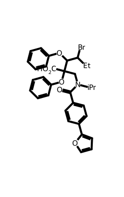 CCC(Br)C(Oc1ccccc1)C(CN(C(=O)c1ccc(-c2ccco2)cc1)C(C)C)(Oc1ccccc1)C(=O)O